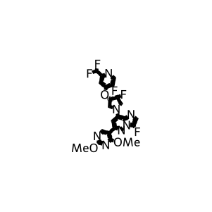 COc1ncc(-c2cc(N3C[C@H](Oc4ccnc(C(F)F)c4)C(F)(F)C3)c3ncc(F)n3n2)c(OC)n1